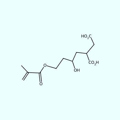 C=C(C)C(=O)OCCC(O)CC(CC(=O)O)C(=O)O